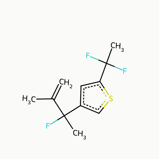 C=C(C)C(C)(F)c1csc(C(C)(F)F)c1